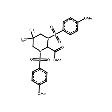 COC(=O)C1N(S(=O)(=O)c2ccc(OC)cc2)CC(C)(C)CN1S(=O)(=O)c1ccc(OC)cc1